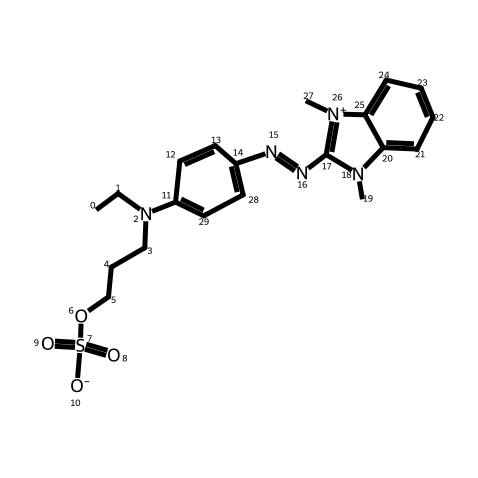 CCN(CCCOS(=O)(=O)[O-])c1ccc(N=Nc2n(C)c3ccccc3[n+]2C)cc1